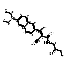 CCC(O)CNC(=O)/C(C#N)=C(\C)c1ccc2cc(N(CC)CC)ccc2c1